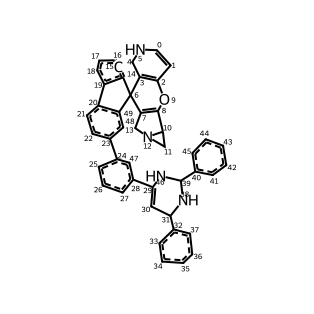 C1=CC2=C(CN1)C1(C3=C(O2)C2CN2C3)c2ccccc2-c2ccc(-c3cccc(C4=CC(c5ccccc5)NC(c5ccccc5)N4)c3)cc21